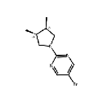 C[C@@H]1CN(c2ncc(Br)cn2)C[C@@H]1C